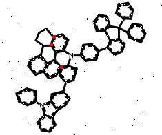 c1ccc(-n2c3ccccc3c3ccc(-c4ccc(N(c5ccc(-c6cccc7c6-c6ccccc6C7(c6ccccc6)c6ccccc6)cc5)c5ccccc5-c5cccc6cccc(C7CCCCC7)c56)cc4)cc32)cc1